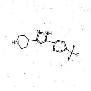 FC(F)(F)c1ccc(-c2cc(C3CCNCC3)n[nH]2)cc1